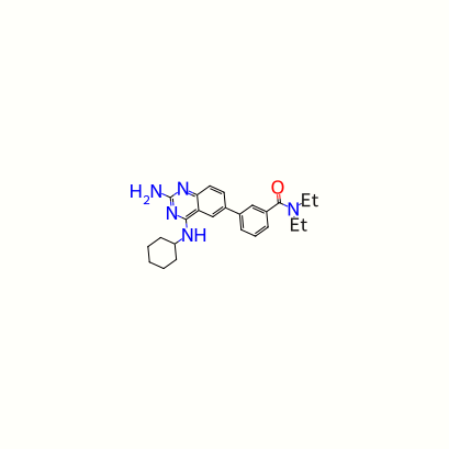 CCN(CC)C(=O)c1cccc(-c2ccc3nc(N)nc(NC4CCCCC4)c3c2)c1